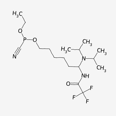 CCOP(C#N)OCCCCCC(NC(=O)C(F)(F)F)N(C(C)C)C(C)C